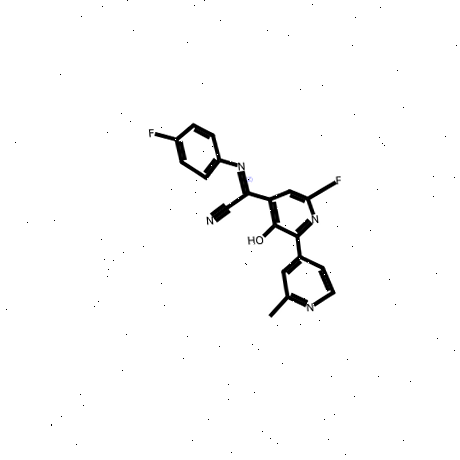 Cc1cc(-c2nc(F)cc(/C(C#N)=N/c3ccc(F)cc3)c2O)ccn1